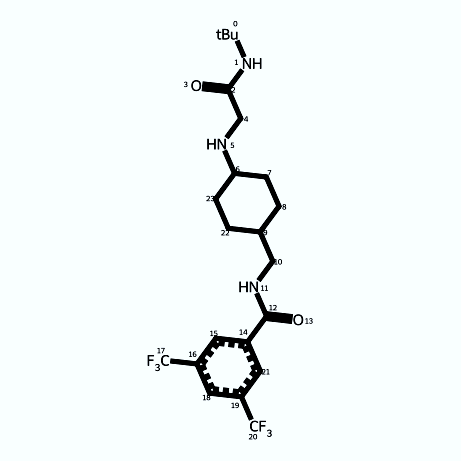 CC(C)(C)NC(=O)CNC1CCC(CNC(=O)c2cc(C(F)(F)F)cc(C(F)(F)F)c2)CC1